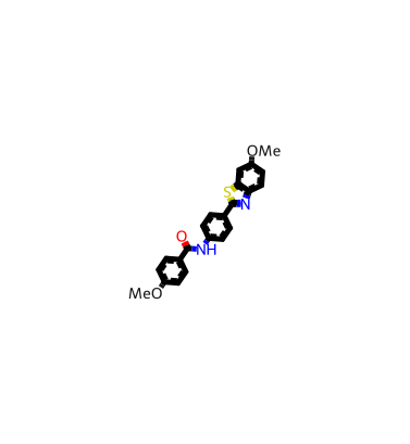 COc1ccc(C(=O)Nc2ccc(-c3nc4ccc(OC)cc4s3)cc2)cc1